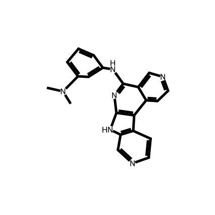 CN(C)c1cccc(Nc2nc3[nH]c4cnccc4c3c3ccncc23)c1